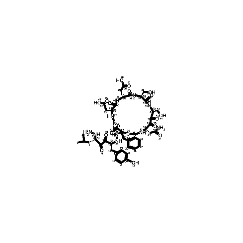 CC(C)C[C@H](NN)C(=O)C(=O)[C@H](Cc1ccc(O)cc1)NNC1(Cc2ccccc2)CCN[C@@H](CC(N)=O)C(=O)C(=O)[C@H](CO)NC(=O)[C@H](CO)NC(=O)[C@H](CC(=O)O)NC(=O)[C@H](CC(=O)O)NNC1=O